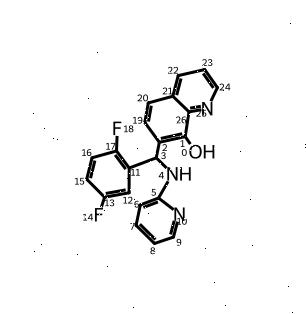 Oc1c(C(Nc2ccccn2)c2cc(F)ccc2F)ccc2cccnc12